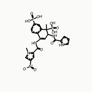 Cn1cc([N+](=O)[O-])cc1C(=O)NC1=CC(NC(=O)c2ccc[nH]2)C(C)(P(=O)(O)O)c2cc(P(=O)(O)O)ccc21